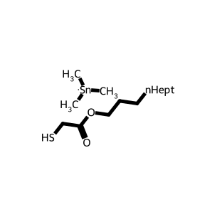 CCCCCCCCCCOC(=O)CS.[CH3][Sn]([CH3])[CH3]